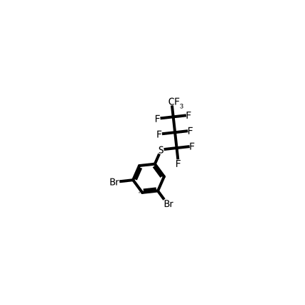 FC(F)(F)C(F)(F)C(F)(F)C(F)(F)Sc1cc(Br)[c]c(Br)c1